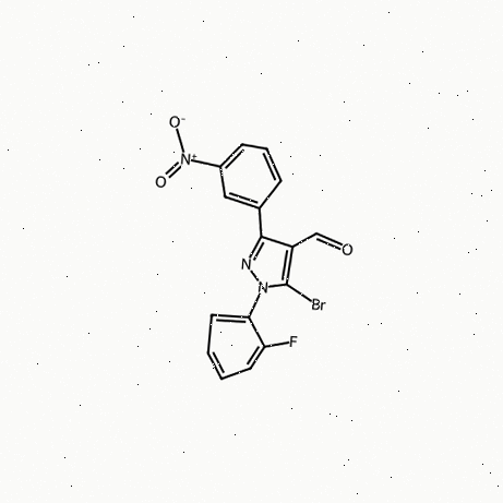 O=Cc1c(-c2cccc([N+](=O)[O-])c2)nn(-c2ccccc2F)c1Br